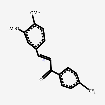 COc1ccc(/C=C/C(=O)c2ccc(C(F)(F)F)cc2)cc1OC